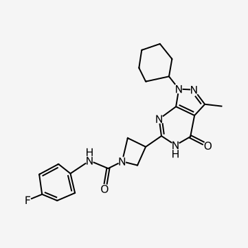 Cc1nn(C2CCCCC2)c2nc(C3CN(C(=O)Nc4ccc(F)cc4)C3)[nH]c(=O)c12